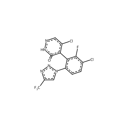 O=c1[nH]ncc(Cl)c1-c1c(-n2cc(C(F)(F)F)nn2)ccc(Cl)c1F